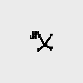 F[B-](F)(F)F.[LiH].[LiH]